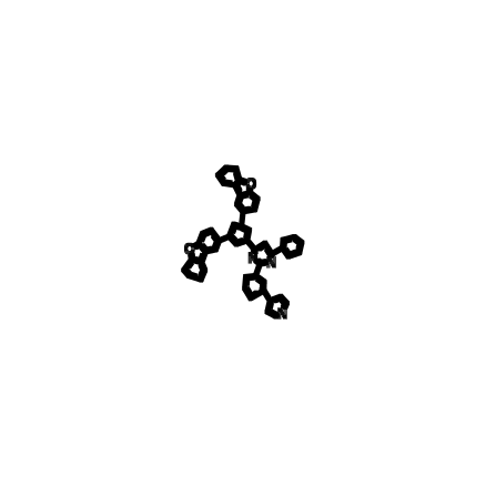 c1ccc(-c2cc(-c3cc(-c4ccc5oc6ccccc6c5c4)cc(-c4ccc5oc6ccccc6c5c4)c3)nc(-c3cccc(-c4ccncc4)c3)n2)cc1